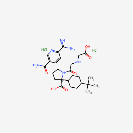 CC(C)(C)C1CCC([C@@]2(C(=O)O)CCCN2C(=O)CNCC(=O)O)CC1.Cl.Cl.N=C(N)c1ccc(C(N)=O)cn1